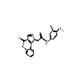 O=C(Cn1ncc2c(=O)oc3ccccc3c21)Nc1ccc(C(F)(F)F)c(Br)c1